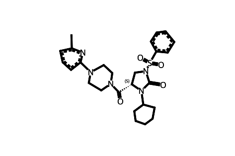 Cc1cccc(N2CCN(C(=O)[C@@H]3CN(S(=O)(=O)c4ccccc4)C(=O)N3C3CCCCC3)CC2)n1